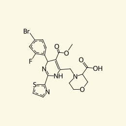 COC(=O)C1=C(CN2CCOCC2C(=O)O)NC(c2nccs2)=NC1c1ccc(Br)cc1F